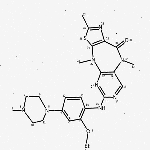 CCOc1cc(N2CCN(C)CC2)ccc1Nc1ncc2c(n1)N(C)c1sc(C)nc1C(=O)N2C